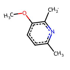 [CH2]c1nc(C)ccc1OC